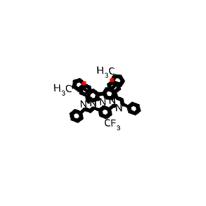 Cc1cccc(-c2ccc3c(c2)c2cc(-c4cccc(C)c4)ccc2n3-c2c(-c3cc(-c4ccccc4)nc(-c4ccccc4)n3)cc(C(F)(F)F)cc2-c2nc(-c3ccccc3)cc(-c3ccccc3)n2)c1